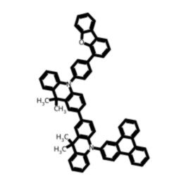 CC1(C)c2ccccc2N(c2ccc(-c3cccc4c3oc3ccccc34)cc2)c2ccc(-c3ccc4c(c3)C(C)(C)c3ccccc3N4c3ccc4c5ccccc5c5ccccc5c4c3)cc21